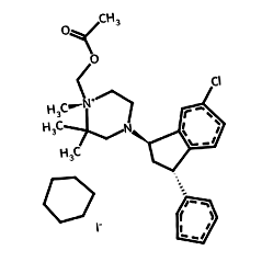 C1CCCCC1.CC(=O)OC[N@+]1(C)CCN([C@@H]2C[C@@H](c3ccccc3)c3ccc(Cl)cc32)CC1(C)C.[I-]